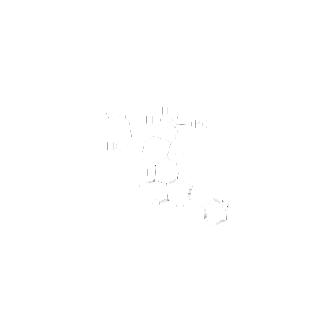 CC(=O)OCC(O)[C@@H]1CC(O[Si](C)(C)C(C)(C)C)[C@@]2(C)Oc3cc(-c4cccnc4)oc(=O)c3C(=O)[C@@H]2C1